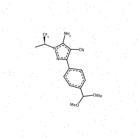 COC(OC)c1ccc(-c2nn([C@@H](C)C(F)(F)F)c(N)c2C#N)cc1